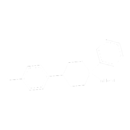 CCCCCCC[Si]1(c2ccccc2)CCC(c2ccc(F)cc2)CC1